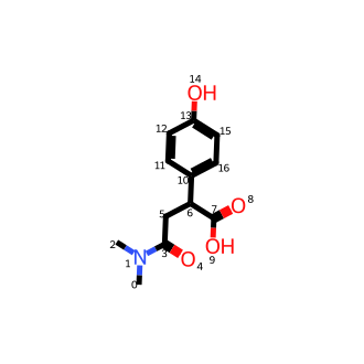 CN(C)C(=O)CC(C(=O)O)c1ccc(O)cc1